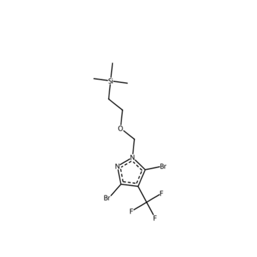 C[Si](C)(C)CCOCn1nc(Br)c(C(F)(F)F)c1Br